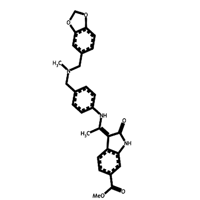 COC(=O)c1ccc2c(c1)NC(=O)/C2=C(/C)Nc1ccc(CN(C)Cc2ccc3c(c2)OCO3)cc1